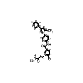 CCNC(=O)CCn1cc(C(=O)Nc2ccc(-n3nc(-c4cccnc4)cc3C(F)(F)F)cn2)ccc1=O